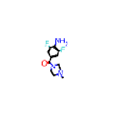 CN1CCN(C(=O)c2cc(F)c(N)c(F)c2)CC1